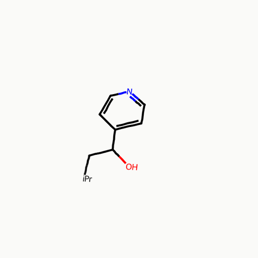 CC(C)CC(O)c1ccncc1